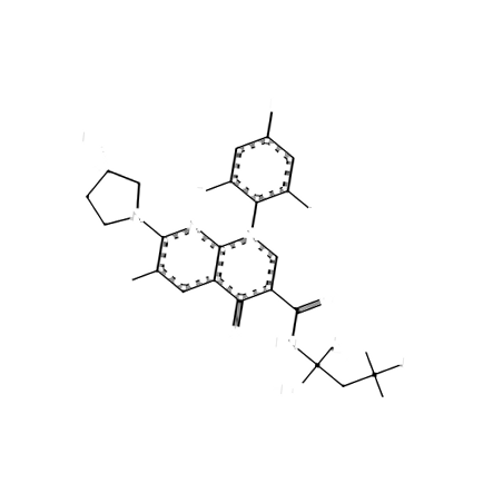 CC(C)(CC(F)(F)F)NC(=O)c1cn(-c2c(F)cc(F)cc2F)c2nc(N3CC[C@H](O)C3)c(F)cc2c1=O